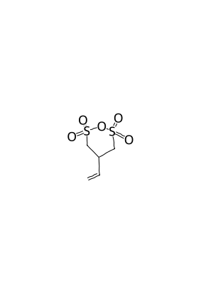 C=CC1CS(=O)(=O)OS(=O)(=O)C1